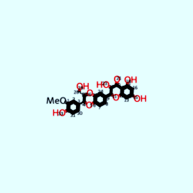 COc1cc([C@@H]2Oc3ccc(C4Oc5cc(O)cc(O)c5C(=O)C4O)cc3O[C@H]2CO)ccc1O